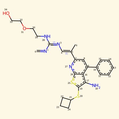 C=N/C(=N\C=C(/C)c1cc(-c2ccccc2)c2c(N)c(SC3CCC3)sc2n1)NCCOCCO